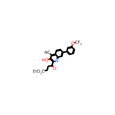 CCOC(=O)CCC(=O)c1nc2cc(-c3cccc(OC(F)(F)F)c3)ccc2c(C#N)c1O